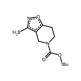 Bc1noc2c1CN(C(=O)OC(C)(C)C)CC2